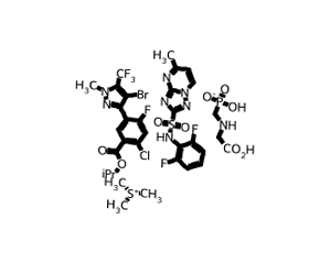 CC(C)OC(=O)c1cc(-c2nn(C)c(C(F)(F)F)c2Br)c(F)cc1Cl.C[S+](C)C.Cc1ccn2nc(S(=O)(=O)Nc3c(F)cccc3F)nc2n1.O=C(O)CNCP(=O)([O-])O